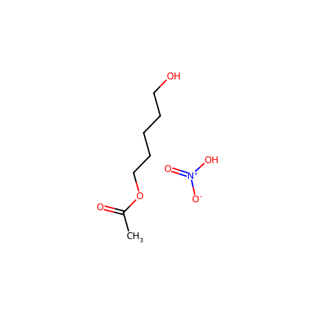 CC(=O)OCCCCCO.O=[N+]([O-])O